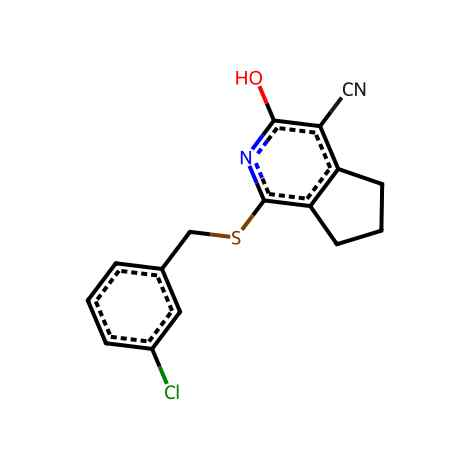 N#Cc1c(O)nc(SCc2cccc(Cl)c2)c2c1CCC2